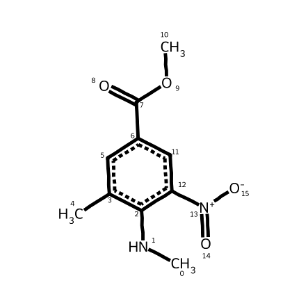 CNc1c(C)cc(C(=O)OC)cc1[N+](=O)[O-]